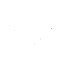 [Al+3].[F-].[F-].[F-].[F-].[F-].[F-].[Na+].[Na+].[Na+]